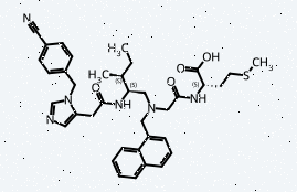 CC[C@H](C)[C@@H](CN(CC(=O)N[C@@H](CCSC)C(=O)O)Cc1cccc2ccccc12)NC(=O)Cc1cncn1Cc1ccc(C#N)cc1